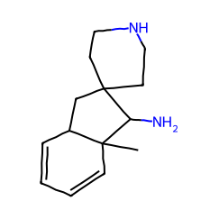 CC12C=CC=CC1CC1(CCNCC1)C2N